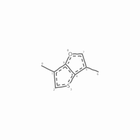 Cc1csc2c(C)coc12